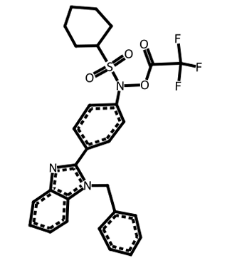 O=C(ON(c1ccc(-c2nc3ccccc3n2Cc2ccccc2)cc1)S(=O)(=O)C1CCCCC1)C(F)(F)F